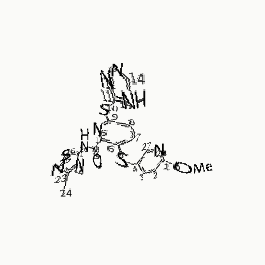 COc1ccc(Sc2ccc(Sc3nnc[nH]3)nc2C(=O)Nc2nc(C)ns2)cn1